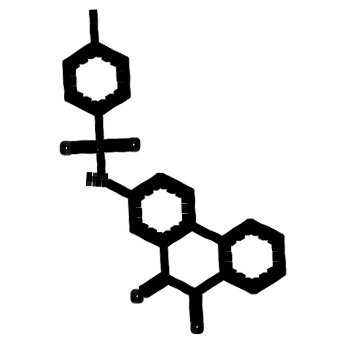 Cc1ccc(S(=O)(=O)Nc2ccc3c(c2)C(=O)C(=O)c2ccccc2-3)cc1